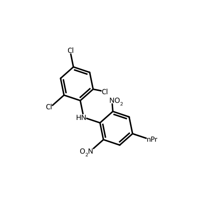 CCCc1cc([N+](=O)[O-])c(Nc2c(Cl)cc(Cl)cc2Cl)c([N+](=O)[O-])c1